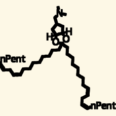 CCCCC/C=C\C/C=C\CCCCCCCCC1(CCCCCCCC/C=C\C/C=C\CCCCC)O[C@H]2CC(CN(C)C)C[C@H]2O1